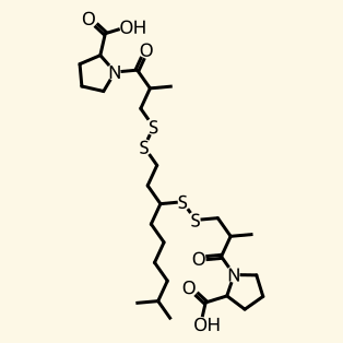 CC(C)CCCCC(CCSSCC(C)C(=O)N1CCCC1C(=O)O)SSCC(C)C(=O)N1CCCC1C(=O)O